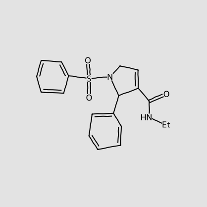 CCNC(=O)C1=CCN(S(=O)(=O)c2ccccc2)C1c1ccccc1